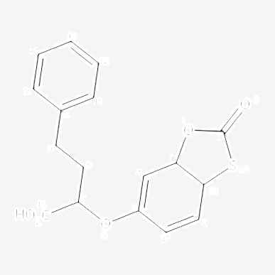 O=C1OC2C=C(OC(CCc3ccccc3)C(=O)O)C=CC2S1